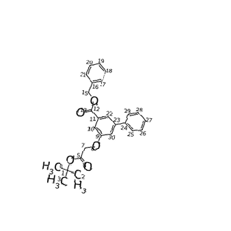 CC(C)(C)OC(=O)COc1cc(C(=O)OCc2ccccc2)cc(-c2ccccc2)c1